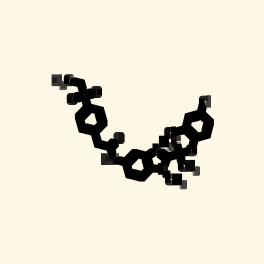 CCS(=O)(=O)c1ccc(CC(=O)Nc2ccc3c(c2)nc(C(C)(C)Oc2ccc(Cl)cc2Cl)n3C)cc1